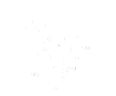 CC(=O)C1=C(O)C(C(C)C)[C@@]2(C)[C@H](OC(=O)CC34CC5CC(CC(C5)C3)C4)[C@]3(C)C(=C(O)[C@@]2(O)C1=O)C(=O)c1c(O)cccc1[C@H]3C